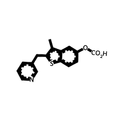 Cc1c(Cc2cccnc2)sc2ccc(OC(=O)O)cc12